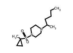 CCCCC(C)N1CCN(S(=O)(=O)C2(C)CC2)CC1